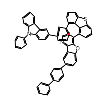 c1ccc(-c2ccc(-c3ccc4oc5c(-c6cccc7sc8cccc(-c9cccc(-c%10ccc%11c(c%10)c%10ccccc%10n%11-c%10ccccc%10)c9)c8c67)ncnc5c4c3)cc2)cc1